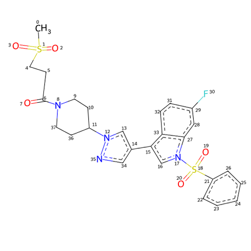 CS(=O)(=O)CCC(=O)N1CCC(n2cc(-c3cn(S(=O)(=O)c4ccccc4)c4cc(F)ccc34)cn2)CC1